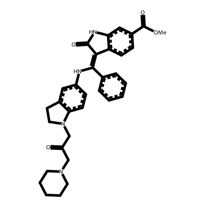 COC(=O)c1ccc2c(c1)NC(=O)/C2=C(\Nc1ccc2c(c1)CCN2CC(=O)CN1CCCCC1)c1ccccc1